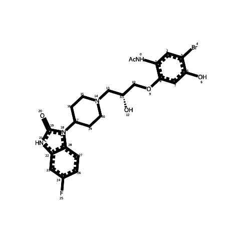 CC(=O)Nc1cc(Br)c(O)cc1OC[C@H](O)CN1CCC(n2c(=O)[nH]c3cc(F)ccc32)CC1